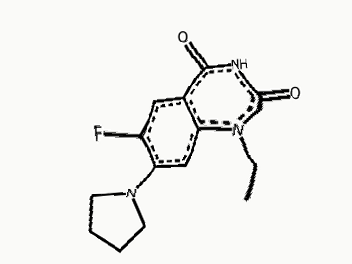 CCn1c(=O)[nH]c(=O)c2cc(F)c(N3CCCC3)cc21